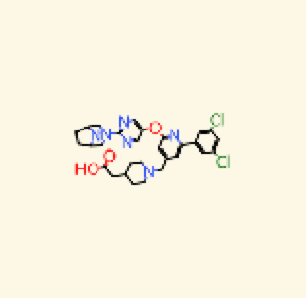 CN1C2CCC1CN(c1ncc(Oc3cc(CN4CCC(CC(=O)O)CC4)cc(-c4cc(Cl)cc(Cl)c4)n3)cn1)C2